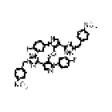 O=[N+]([O-])c1ccc(Cn2nnc(-c3cnn(-c4ccc(F)cc4)c3SSc3c(-c4nnn(Cc5ccc([N+](=O)[O-])cc5)n4)cnn3-c3ccc(F)cc3)n2)cc1